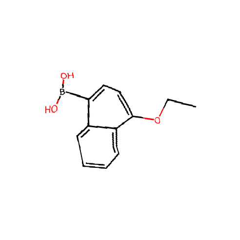 CCOc1ccc(B(O)O)c2ccccc12